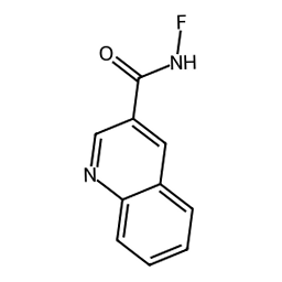 O=C(NF)c1cnc2ccccc2c1